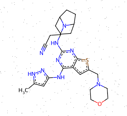 Cc1cc(Nc2nc(NC3CC4CCC(C3)N4CCC#N)nc3sc(CN4CCOCC4)cc23)n[nH]1